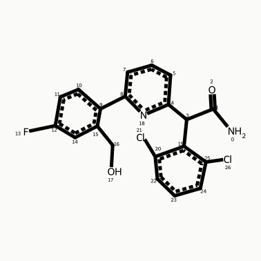 NC(=O)C(c1cccc(-c2ccc(F)cc2CO)n1)c1c(Cl)cccc1Cl